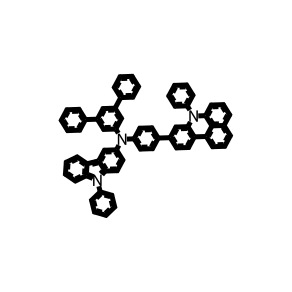 c1ccc(-c2cc(-c3ccccc3)cc(N(c3ccc(-c4ccc5c(c4)N(c4ccccc4)c4cccc6cccc-5c46)cc3)c3ccc4c(c3)c3ccccc3n4-c3ccccc3)c2)cc1